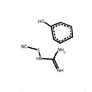 N#CSNC(=N)N.Oc1ccccc1